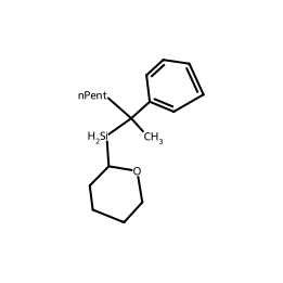 CCCCCC(C)([SiH2]C1CCCCO1)c1ccccc1